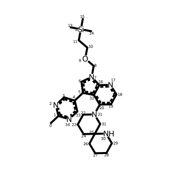 Cc1ncc(-c2cn(COCC[Si](C)(C)C)c3nccc(N4CCCC5(CCCCN5)C4)c23)cn1